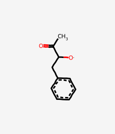 CC(=O)C([O])Cc1ccccc1